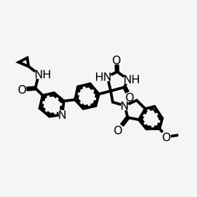 COc1ccc2c(c1)C(=O)N(CC1(c3ccc(-c4cc(C(=O)NC5CC5)ccn4)cc3)NC(=O)NC1=O)C2